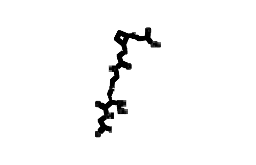 CC(C)(C)N[C@@H](CCCCNC(=O)CSC1CCC1SCC(=O)C(C)(C)C)C(=O)NCC(=O)I